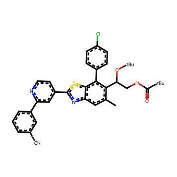 Cc1cc2nc(-c3ccnc(-c4cccc(C#N)c4)c3)sc2c(-c2ccc(Cl)cc2)c1C(COC(=O)C(C)(C)C)OC(C)(C)C